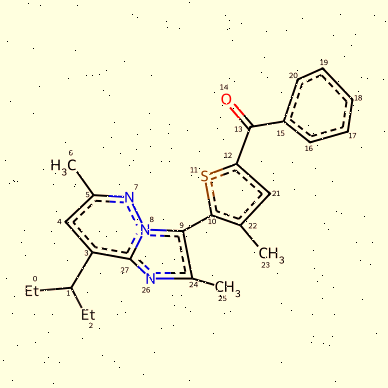 CCC(CC)c1cc(C)nn2c(-c3sc(C(=O)c4ccccc4)cc3C)c(C)nc12